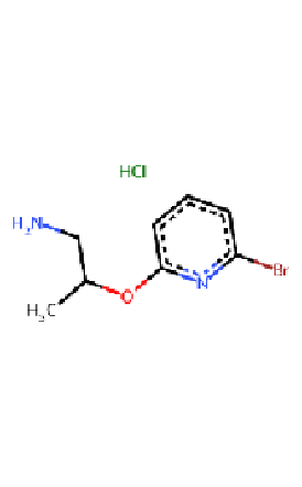 CC(CN)Oc1cccc(Br)n1.Cl